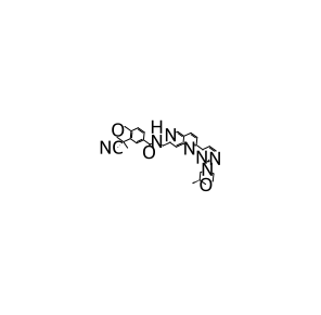 C[C@H]1CN(c2nccc(-c3ccc4cnc(CNC(=O)c5ccc6c(c5)[C@](C)(C#N)COC6)cc4n3)n2)CCO1